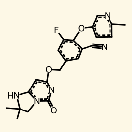 Cc1ccc(Oc2c(F)cc(COc3cc4n(c(=O)n3)CC(C)(C)N4)cc2C#N)cn1